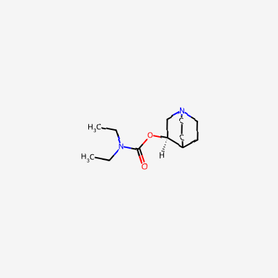 CCN(CC)C(=O)O[C@H]1CN2CCC1CC2